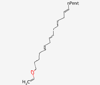 C=COCCCCC=CCC=CCC=CCC=CCCCCC